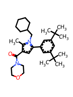 Cc1c(C(=O)N2CCOCC2)cc(-c2cc(C(C)(C)C)cc(C(C)(C)C)c2)n1CC1CCCCC1